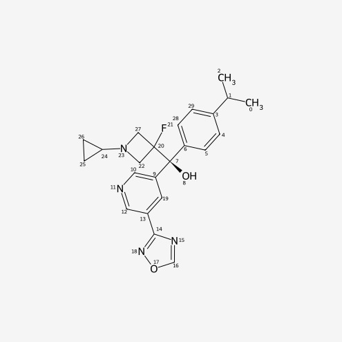 CC(C)c1ccc([C@](O)(c2cncc(-c3ncon3)c2)C2(F)CN(C3CC3)C2)cc1